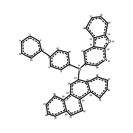 c1ccc(-c2ccc(N(c3cnc4oc5ccccc5c4c3)c3cc4c5ccccc5ccc4c4ccccc34)cc2)cc1